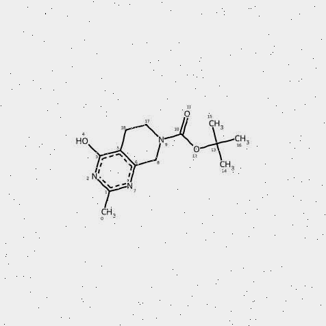 Cc1nc(O)c2c(n1)CN(C(=O)OC(C)(C)C)CC2